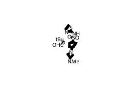 CC(C)(C)OC=O.CNC1CN(c2ccc(S(=O)(=O)Nc3nccs3)cc2)C1